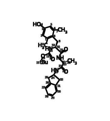 Cc1cc(O)cc(C)c1C[C@H](NC(=O)OC(C)(C)C)C(=O)N[C@H](C)C(=O)NC1Cc2ccccc2C1